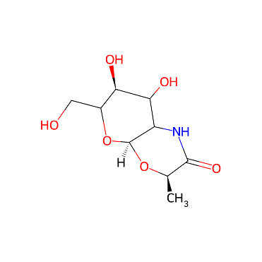 C[C@H]1O[C@H]2OC(CO)[C@@H](O)C(O)C2NC1=O